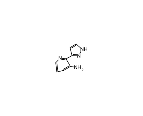 Nc1cccnc1-c1cc[nH]n1